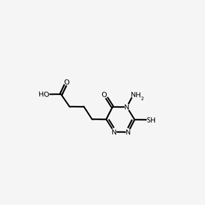 Nn1c(S)nnc(CCCC(=O)O)c1=O